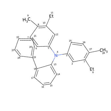 CCc1cc(N(c2ccc(C)c(CC)c2)c2ccccc2-c2ccccc2)ccc1C